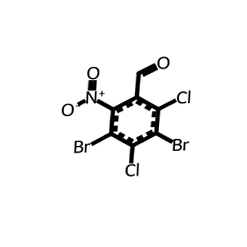 O=Cc1c(Cl)c(Br)c(Cl)c(Br)c1[N+](=O)[O-]